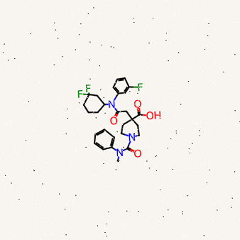 CN(C(=O)N1CCC(CC(=O)N(c2cccc(F)c2)C2CCCC(F)(F)C2)(C(=O)O)CC1)c1ccccc1